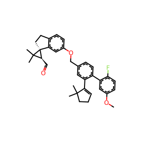 COc1ccc(F)c(-c2ccc(COc3ccc4c(c3)[C@@]3(CC4)[C@@H](C=O)C3(C)C)cc2C2=CCCC2(C)C)c1